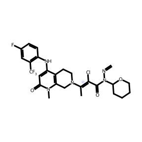 C=NN(C(=O)/C(Cl)=C(\C)N1CCc2c(Nc3ccc(F)cc3C(F)(F)F)cc(=O)n(C)c2C1)C1CCCCO1